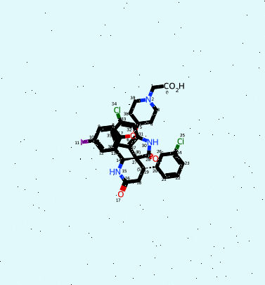 O=C(O)CN1CCC(Oc2ccc(I)cc2C2NC(=O)C[C@@H](C3C=CC=C(Cl)C3)[C@]23C(=O)Nc2cc(Cl)ccc23)CC1